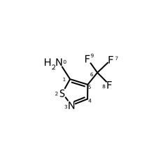 Nc1sncc1C(F)(F)F